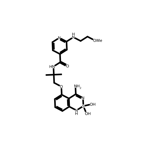 COCCNc1cc(C(=O)NC(C)(C)COc2cccc3c2C(N)=NS(O)(O)N3)ccn1